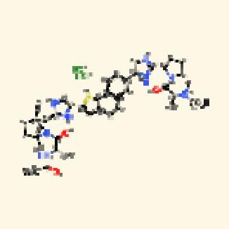 COC(=O)N[C@H](C(=O)N1[C@@H]2CC[C@@H](C2)[C@H]1c1ncc(-c2cc3ccc4cc(-c5cnc([C@@H]6CCCN6C(=O)[C@H](C(C)C)N(C)C(=O)O)[nH]5)ccc4c3s2)[nH]1)C(C)C.Cl.Cl